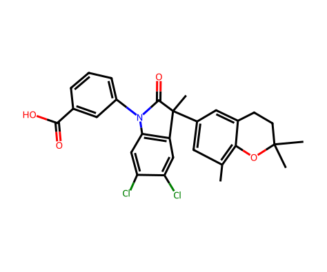 Cc1cc(C2(C)C(=O)N(c3cccc(C(=O)O)c3)c3cc(Cl)c(Cl)cc32)cc2c1OC(C)(C)CC2